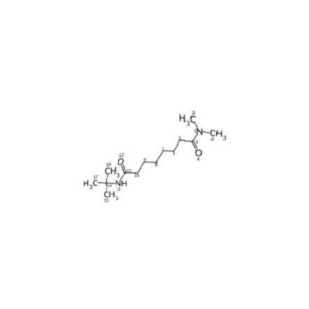 CN(C)C(=O)CCCCCCC(=O)NC(C)(C)C